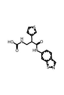 O=C(O)NCC(C(=O)Nc1ccc2cnsc2c1)c1ccsc1